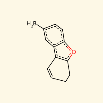 Bc1ccc2oc3c(c2c1)C=CCC3